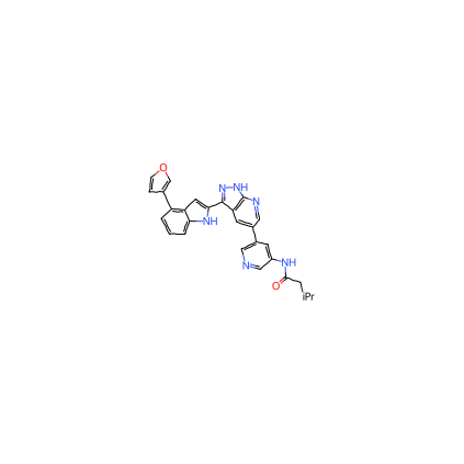 CC(C)CC(=O)Nc1cncc(-c2cnc3[nH]nc(-c4cc5c(-c6ccoc6)cccc5[nH]4)c3c2)c1